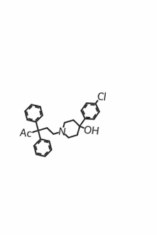 CC(=O)C(CCN1CCC(O)(c2ccc(Cl)cc2)CC1)(c1ccccc1)c1ccccc1